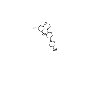 Cc1cc(Br)cc(C)c1C(=O)N1CCC(N2CCC(O)CC2)CC1